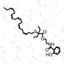 CC/C=C\C/C=C\C/C=C\C/C=C\C/C=C\CCSC(CC)(CC)C(=O)OCCNC(=O)c1ccccc1O